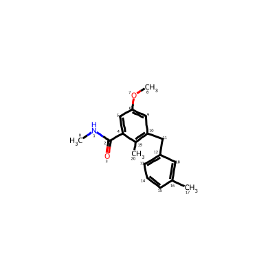 CNC(=O)c1cc(OC)cc(Cc2cccc(C)c2)c1C